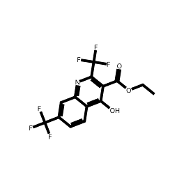 CCOC(=O)c1c(C(F)(F)F)nc2cc(C(F)(F)F)ccc2c1O